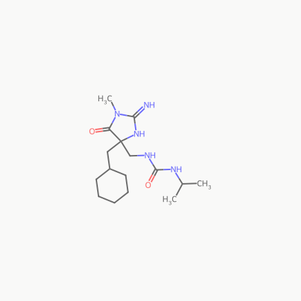 CC(C)NC(=O)NCC1(CC2CCCCC2)NC(=N)N(C)C1=O